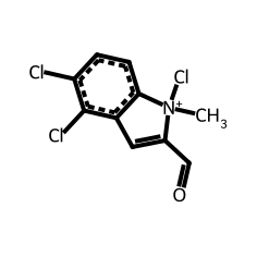 C[N+]1(Cl)C(C=O)=Cc2c1ccc(Cl)c2Cl